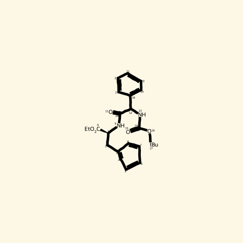 CCOC(=O)[C@H](Cc1ccccc1)NC(=O)C(NC(=O)OC(C)(C)C)c1ccccc1